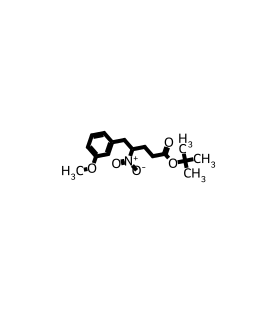 COc1cccc(CC(CCC(=O)OC(C)(C)C)[N+](=O)[O-])c1